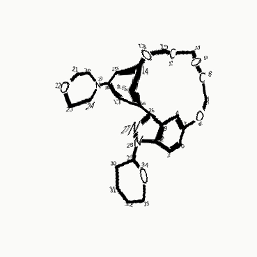 c1cc2c3cc1OCCOCCCOc1cc(cc(N4CCOCC4)c1)-c3nn2C1CCCCO1